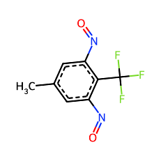 Cc1cc(N=O)c(C(F)(F)F)c(N=O)c1